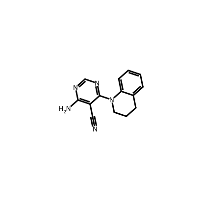 N#Cc1c(N)ncnc1N1CCCc2ccccc21